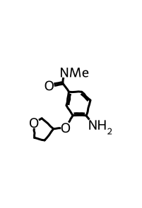 CNC(=O)c1ccc(N)c(OC2CCOC2)c1